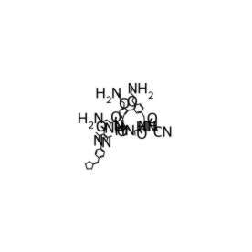 Cc1nc(-c2ccc(C=C3CCCC3)cc2)nc(C)c1C(=O)NC(CCN)C(=O)N(C)C1C(=O)NC(C)C(=O)NC(C(=O)NCC#N)Cc2ccc(OCCN)c(c2)-c2cc1ccc2OCCN